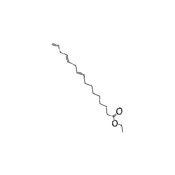 C=CCC=CCC=CCCCCCCCC(=O)OCC